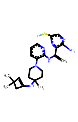 C=C(Nc1ncccc1N1CCC(C)(NC2=CC(C)(C)C2)CC1)c1nc(SF)cnc1N